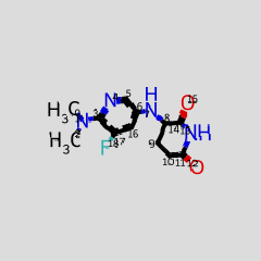 CN(C)c1ncc(NC2CCC(=O)NC2=O)cc1F